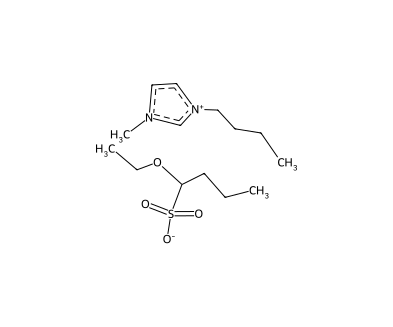 CCCC(OCC)S(=O)(=O)[O-].CCCC[n+]1ccn(C)c1